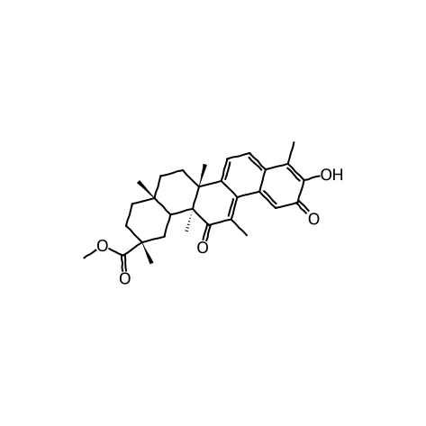 COC(=O)[C@]1(C)CC[C@]2(C)CC[C@]3(C)c4ccc5c(c4=C(C)C(=O)[C@@]3(C)C2C1)=CC(=O)C(O)=C5C